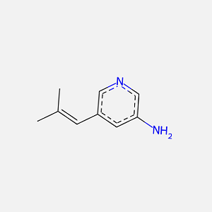 CC(C)=Cc1cncc(N)c1